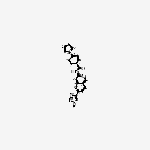 Cn1cc(-c2ccc3cnc(NC(=O)C4CCC(N5CCCC5)CC4)cc3n2)nn1